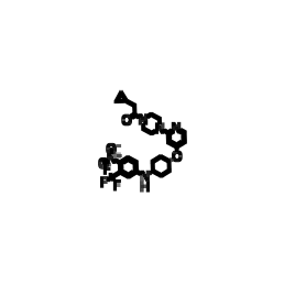 O=C(CC1CC1)N1CCN(c2cc(O[C@H]3CC[C@H](Nc4ccc([N+](=O)[O-])c(C(F)(F)F)c4)CC3)ccn2)CC1